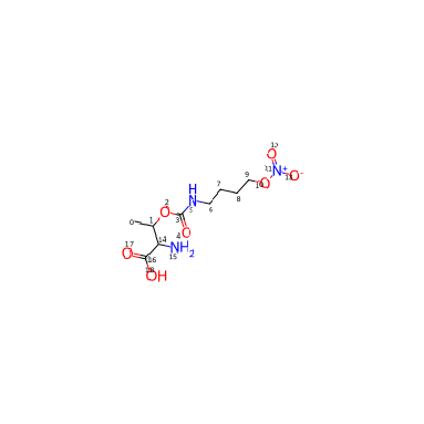 CC(OC(=O)NCCCCO[N+](=O)[O-])C(N)C(=O)O